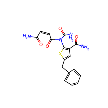 NC(=O)/C=C\C(=O)N(C(N)=O)c1sc(Cc2ccccc2)cc1C(N)=O